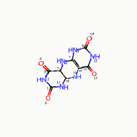 O=C1NC(=O)C2Nc3[nH]c(=O)[nH]c(=O)c3NC2N1